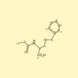 O=C(CI)NC(COCc1ccccc1)C(=O)O